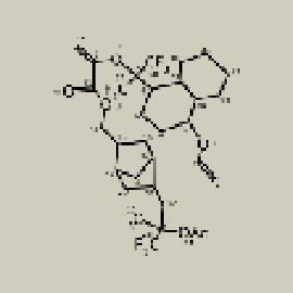 C=COC1CCC(C(OC(=C)C(=O)OCC2CC3CC2CC3CC(OC(C)=O)(C(F)(F)F)C(F)(F)F)(C(F)(F)F)C(F)(F)F)C2CCCCC12